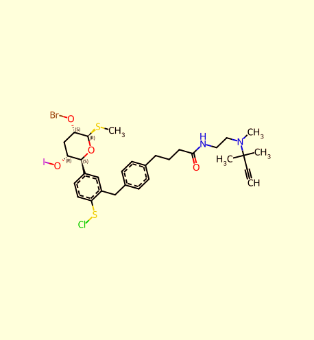 C#CC(C)(C)N(C)CCNC(=O)CCCc1ccc(Cc2cc([C@@H]3O[C@H](SC)[C@@H](OBr)C[C@H]3OI)ccc2SCl)cc1